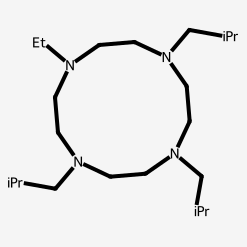 CCN1CCN(CC(C)C)CCN(CC(C)C)CCN(CC(C)C)CC1